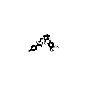 CC1(C)CN(Cc2nnc(-c3ccc(Cl)cc3)o2)C(=O)C1Oc1ccc(C#N)c(C(F)(F)F)c1